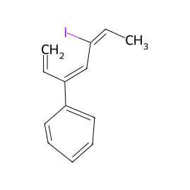 C=C/C(=C\C(I)=C/C)c1ccccc1